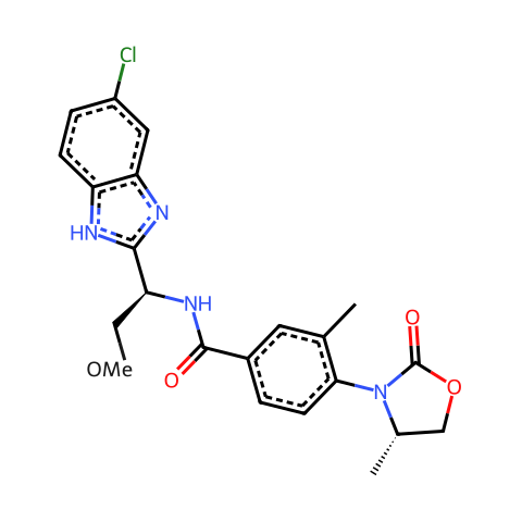 COC[C@H](NC(=O)c1ccc(N2C(=O)OC[C@@H]2C)c(C)c1)c1nc2cc(Cl)ccc2[nH]1